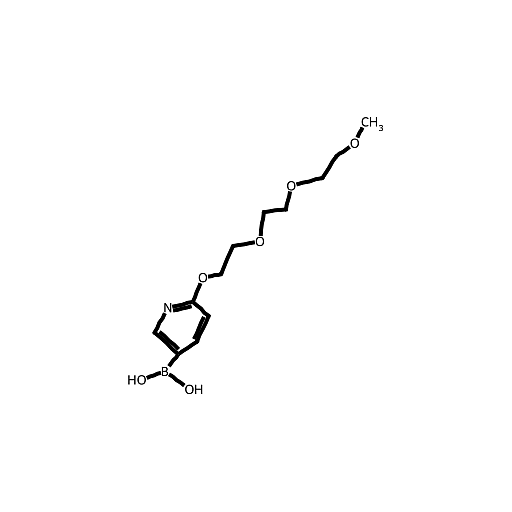 COCCOCCOCCOc1ccc(B(O)O)cn1